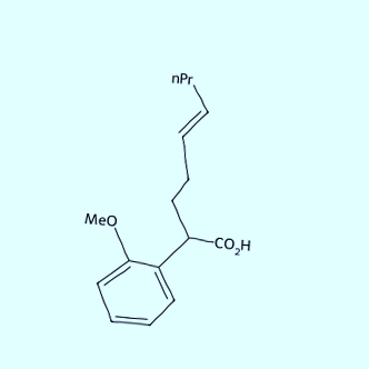 CCCC=CCCC(C(=O)O)c1ccccc1OC